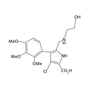 COc1ccc(-c2c(CNCCO)[nH]c(C(=O)O)c2Cl)c(OC)c1OC